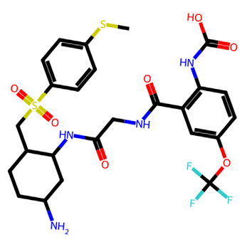 CSc1ccc(S(=O)(=O)CC2CCC(N)CC2NC(=O)CNC(=O)c2cc(OC(F)(F)F)ccc2NC(=O)O)cc1